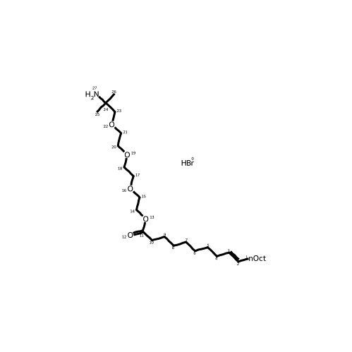 Br.CCCCCCCCC=CCCCCCCCC(=O)OCCOCCOCCOCC(C)(C)N